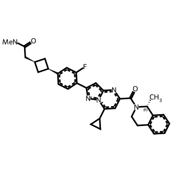 CNC(=O)C[C@H]1C[C@@H](c2ccc(-c3cc4nc(C(=O)N5CCc6ccccc6[C@H]5C)cc(C5CC5)n4n3)c(F)c2)C1